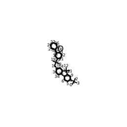 CC(C)(C)c1ccc2c(c1)C(C)(C)c1cc(CC(C)(C)c3ccc4oc5ccccc5c4c3)ccc1-2